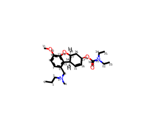 CCCN(C)Cc1ccc(OC)c2c1[C@@H]1C=C[C@H](OC(=O)N(CC)CC)C[C@@H]1O2